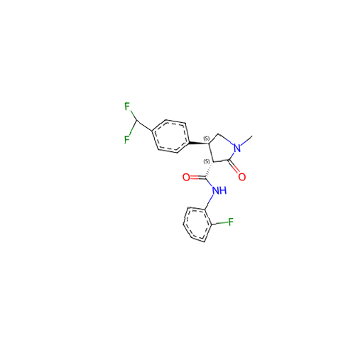 CN1C[C@H](c2ccc(C(F)F)cc2)[C@@H](C(=O)Nc2ccccc2F)C1=O